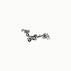 CC(C)CS(=O)(=O)N1CCC(Nc2ncccc2-c2cnc3c(ccn3COCC[Si](C)(C)C)n2)C1